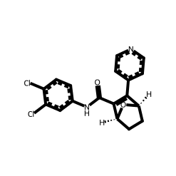 O=C(Nc1ccc(Cl)c(Cl)c1)C1=C(c2ccncc2)[C@H]2CC[C@@H]1O2